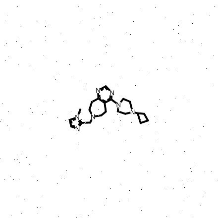 Cn1ccnc1CN1CCc2ncnc(N3CCN(C4CCC4)CC3)c2CC1